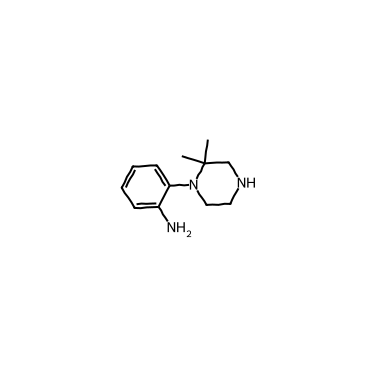 CC1(C)CNCCN1c1ccccc1N